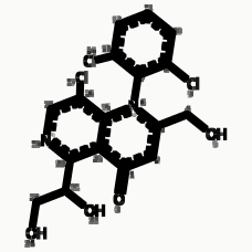 O=c1cc(CO)n(-c2c(Cl)cccc2Cl)c2c(Cl)cnc(C(O)CO)c12